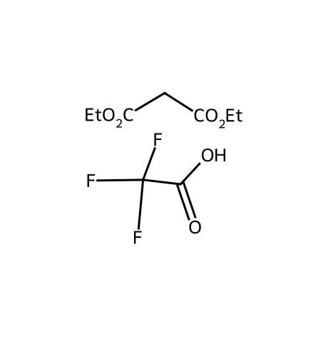 CCOC(=O)CC(=O)OCC.O=C(O)C(F)(F)F